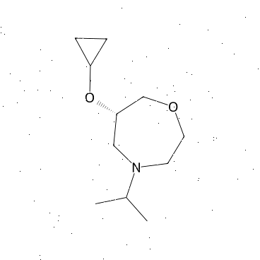 CC(C)N1CCOC[C@@H](OC2CC2)C1